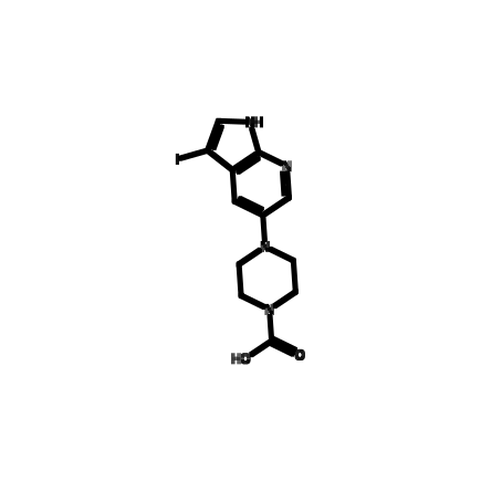 O=C(O)N1CCN(c2cnc3[nH]cc(I)c3c2)CC1